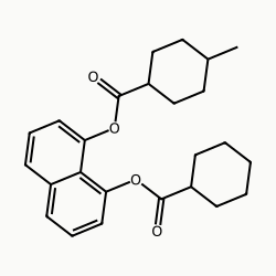 CC1CCC(C(=O)Oc2cccc3cccc(OC(=O)C4CCCCC4)c23)CC1